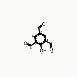 O=Cc1cc(C=O)c(O)c(C=O)c1